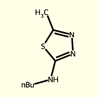 CCCCNc1nnc(C)s1